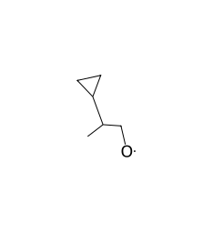 CC(C[O])C1CC1